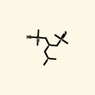 CP(C)CP(CP(C)(C)=S)C[PH](C)(C)S